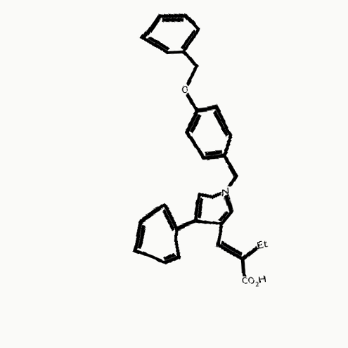 CCC(=Cc1cn(Cc2ccc(OCc3ccccc3)cc2)cc1-c1ccccc1)C(=O)O